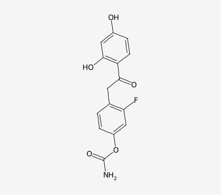 NC(=O)Oc1ccc(CC(=O)c2ccc(O)cc2O)c(F)c1